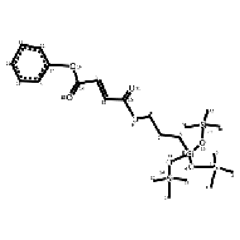 C[Si](C)(C)O[Si](CCCOC(=O)C=CC(=O)Oc1ccccc1)(O[Si](C)(C)C)O[Si](C)(C)C